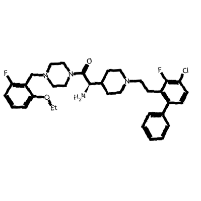 CCOc1cccc(F)c1CN1CCN(C(=O)[C@H](N)C2CCN(CCc3c(-c4ccccc4)ccc(Cl)c3F)CC2)CC1